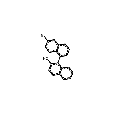 Oc1ccc2ccccc2c1-c1cccc2cc(Br)ccc12